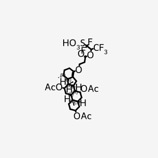 CC(=O)OC1CC[C@@]2(C)[C@@H](C1)CC(OC(C)=O)[C@@H]1[C@@H]2CC(OC(C)=O)[C@]2(C)[C@@H]3C(=C(OCCC(=O)OC(C(F)(F)F)C(F)(F)S(=O)(=O)O)CC[C@H]3C)C[C@@H]12